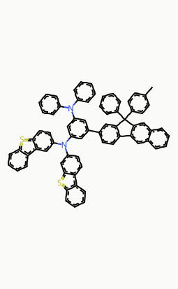 Cc1ccc(C2(c3ccccc3)c3cc(-c4cc(N(c5ccccc5)c5ccccc5)cc(N(c5ccc6c(c5)sc5ccccc56)c5ccc6sc7ccccc7c6c5)c4)ccc3-c3cc4ccccc4cc32)cc1